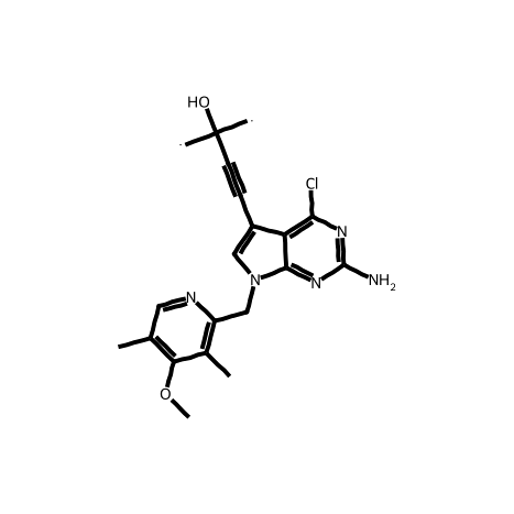 [CH2]C([CH2])(O)C#Cc1cn(Cc2ncc(C)c(OC)c2C)c2nc(N)nc(Cl)c12